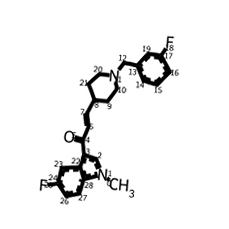 Cn1cc(C(=O)C=CC2CCN(Cc3cccc(F)c3)CC2)c2cc(F)ccc21